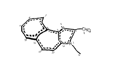 Cn1c(C=O)nc2c3ccccc3ccc21